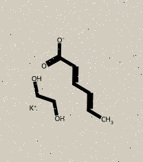 CC=CC=CC(=O)[O-].OCCO.[K+]